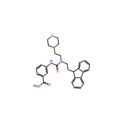 COC(=O)c1cccc(NC(=O)N(CCC2c3ccccc3-c3ccccc32)CCN2CCOCC2)c1